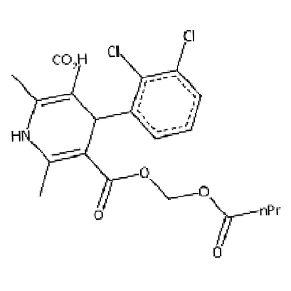 CCCC(=O)OCOC(=O)C1=C(C)NC(C)=C(C(=O)O)C1c1cccc(Cl)c1Cl